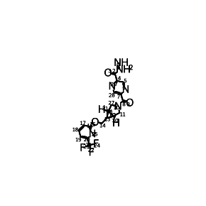 NNC(=O)c1cnc(C(=O)N2C[C@@H]3C(COc4cccc(C(F)(F)F)n4)[C@@H]3C2)cn1